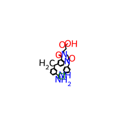 C=C(c1cccc(C(=N)N)c1)c1ccc2c(c1)C(=O)N(CCC(=O)O)CC(=O)N2Cc1ccc(Cl)cc1